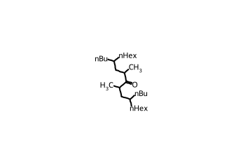 CCCCCCC(CCCC)CC(C)C(=O)C(C)CC(CCCC)CCCCCC